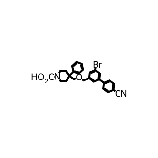 N#Cc1ccc(-c2cc(Br)cc(COCC3(c4ccccc4)CCN(C(=O)O)CC3)c2)cc1